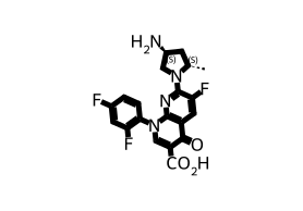 C[C@H]1C[C@H](N)CN1c1nc2c(cc1F)c(=O)c(C(=O)O)cn2-c1ccc(F)cc1F